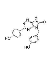 O=c1[nH]c2ncc(-c3ccc(O)cc3)nc2n1Cc1ccc(O)cc1